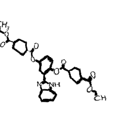 CCOC(=O)C1CCC(C(=O)Oc2ccc(OC(=O)[C@H]3CC[C@H](C(=O)OCC)CC3)cc2-c2nc3ccccc3[nH]2)CC1